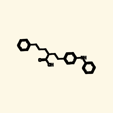 O=C(O)C(CCCc1ccccc1)CCc1ccc(Nc2ccccc2)cc1